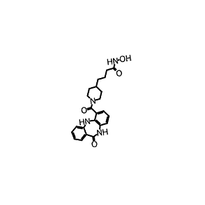 O=C(CCCC1CCN(C(=O)c2cccc3c2Nc2ccccc2C(=O)N3)CC1)NO